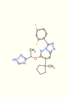 CC(Oc1nn2c(-c3ccc(F)cc3F)nnc2cc1C1(C)CCCC1)c1nc[nH]n1